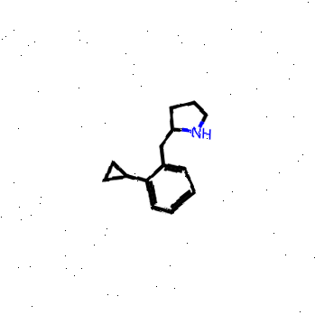 c1ccc(C2CC2)c(CC2CCCN2)c1